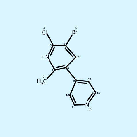 Cc1nc(Cl)c(Br)cc1-c1ccncc1